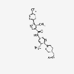 CC(=O)OCC1CCN(c2ncc(NC(=O)c3cnn(-c4ccc(C(F)(F)F)cn4)c3C)cc2C)CC1